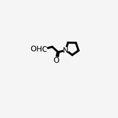 O=CCC(=O)N1CCCC1